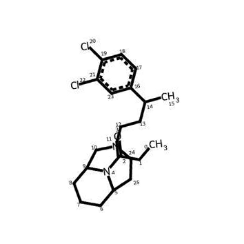 CCC(=O)N1C2CCCC1CN(CCC(C)c1ccc(Cl)c(Cl)c1)CC2